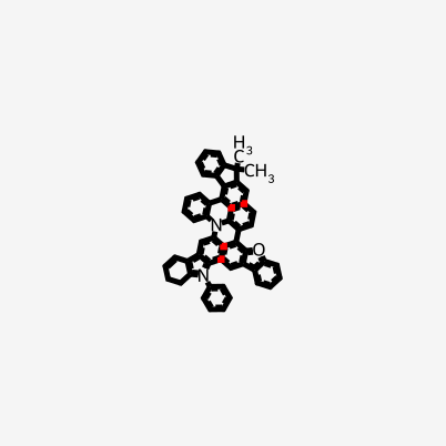 CC1(C)c2ccccc2-c2c(-c3ccccc3N(c3ccc4c(c3)c3c(n4-c4ccccc4)CCC=C3)c3ccccc3-c3cccc4c3oc3ccccc34)cccc21